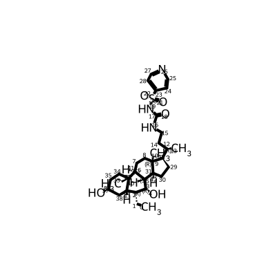 CC[C@H]1[C@@H](O)[C@@H]2[C@H](CC[C@]3(C)[C@@H]([C@H](C)CCNC(=O)NS(=O)(=O)c4ccncc4)CC[C@@H]23)[C@@]2(C)CC[C@@H](O)C[C@@H]12